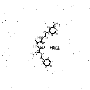 CC(NC(=O)C(N)CCc1ccccc1)C(=O)NCCc1ccnc(N)c1.Cl.Cl